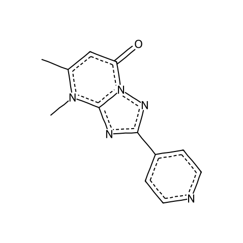 Cc1cc(=O)n2nc(-c3ccncc3)nc2n1C